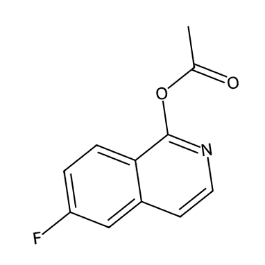 CC(=O)Oc1nccc2cc(F)ccc12